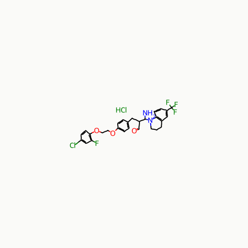 Cl.NC(C(C=O)Cc1ccc(OCCOc2ccc(Cl)cc2F)cc1)N1CCCc2cc(C(F)(F)F)ccc21